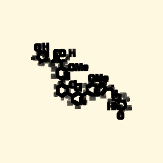 COc1nc(-c2cccc(-c3ccnc(-c4cc(OC)c5nc(CN6CC7(CCC(=O)N7)C6)cn5c4)c3Cl)c2Cl)ccc1CN(C[C@@H]1CCC(=O)N1)C(=O)O